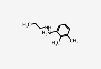 CCCN[SiH2]c1cccc(C)c1C